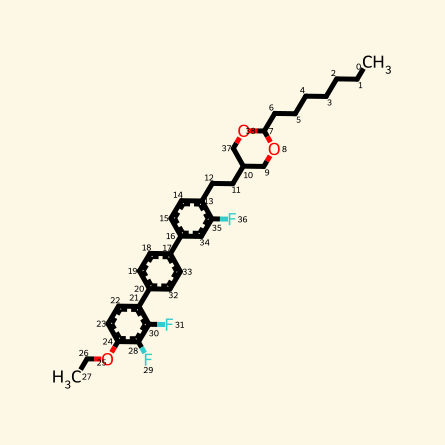 CCCCCCCC1OCC(CCc2ccc(-c3ccc(-c4ccc(OCC)c(F)c4F)cc3)cc2F)CO1